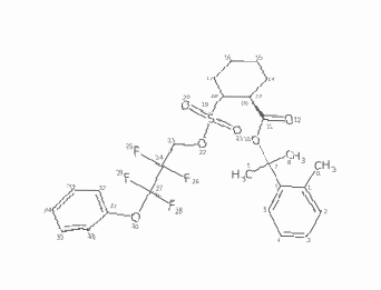 Cc1ccccc1C(C)(C)OC(=O)[C@@H]1CCCCC1S(=O)(=O)OCC(F)(F)C(F)(F)Oc1ccccc1